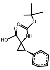 CC(C)(C)OC(=O)N[C@]1(C(=O)O)C[C@@H]1c1ccccc1